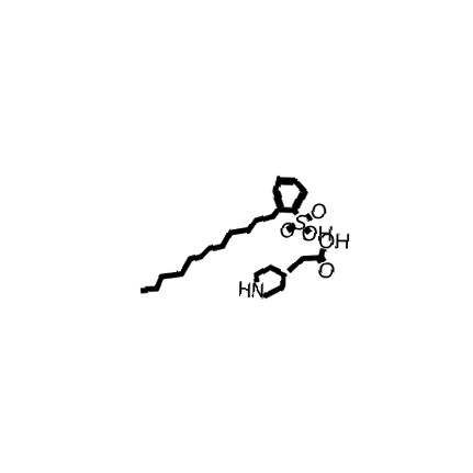 C1CCNCC1.CCC(=O)O.CCCCCCCCCCCCc1ccccc1S(=O)(=O)O